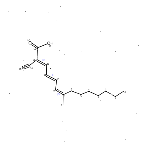 CCCCCCC\C(C)=C/C=C/C=C(\C#N)C(=O)O